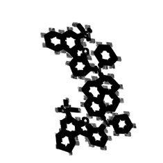 C[Si](C)(C)c1cc2ccccc2c2c1oc1c(N(c3ccccc3)c3ccc4ccc5c(N(c6ccccc6)c6cccc7c6oc6c([Si](C)(C)C)cc8ccccc8c67)ccc6ccc3c4c65)cccc12